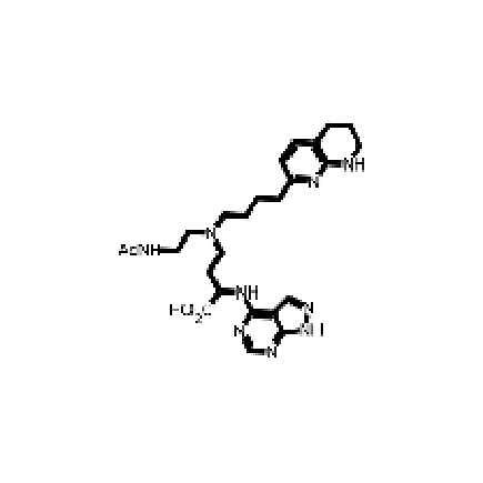 CC(=O)NCCN(CCCCc1ccc2c(n1)NCCC2)CCC(Nc1ncnc2[nH]ncc12)C(=O)O